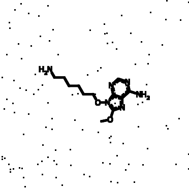 COc1nc2c(N)ncnc2n1OCCCCCCN